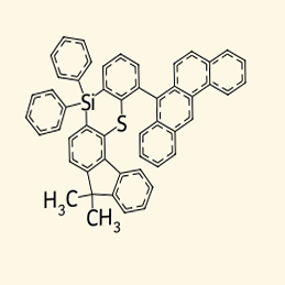 CC1(C)c2ccccc2-c2c1ccc1c2Sc2c(-c3c4ccccc4cc4c3ccc3ccccc34)cccc2[Si]1(c1ccccc1)c1ccccc1